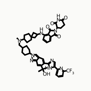 CN(CC1CCC(n2cc3cc(-c4ncc(-c5cccc(C(F)(F)F)n5)[nH]4)c(C(C)(C)O)cc3n2)CC1)C1CCC2(CC1)CC(Nc1cccc3c1C(=O)N(C1CCC(=O)NC1=O)C3=O)C2